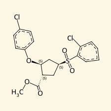 COC(=O)[C@H]1C[C@H](S(=O)(=O)c2ccccc2Cl)C[C@@H]1Oc1ccc(Cl)cc1